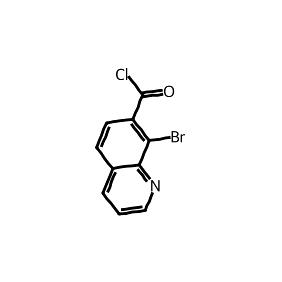 O=C(Cl)c1ccc2cccnc2c1Br